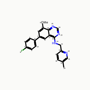 COc1cc(-c2ccc(F)cc2)cc2c(NCc3ccc(C)cn3)ncnc12